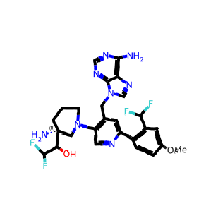 COc1ccc(-c2cc(Cn3cnc4c(N)ncnc43)c(N3CCC[C@](N)(C(O)C(F)F)C3)cn2)c(C(F)F)c1